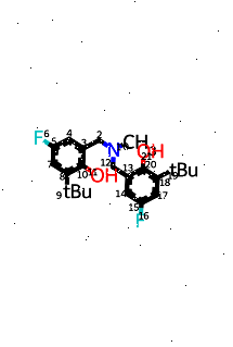 CN(Cc1cc(F)cc(C(C)(C)C)c1O)Cc1cc(F)cc(C(C)(C)C)c1O